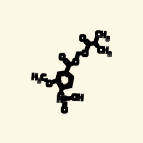 COc1cc(C(=O)OCOC(=O)C(C)C)ccc1O[PH](=O)O